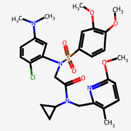 COc1ccc(C)c(CN(C(=O)CN(c2cc(N(C)C)ccc2Cl)S(=O)(=O)c2ccc(OC)c(OC)c2)C2CC2)n1